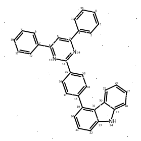 c1ccc(-c2cc(-c3ccccc3)nc(-c3ccc(-c4cccc5[nH]c6ccccc6c45)cc3)n2)cc1